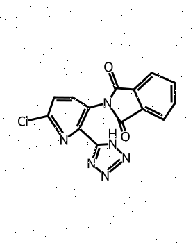 O=C1c2ccccc2C(=O)N1c1ccc(Cl)nc1-c1nnn[nH]1